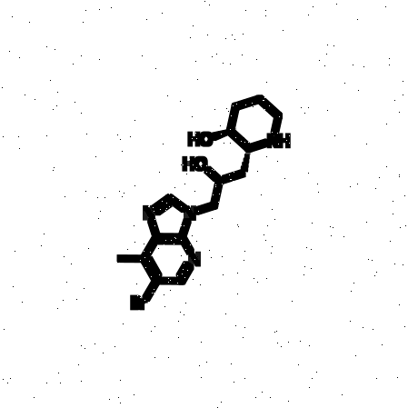 Cc1c(Br)cnc2c1ncn2CC(O)C[C@H]1NCCC[C@@H]1O